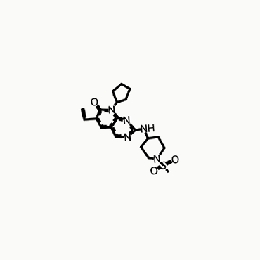 C=Cc1cc2cnc(NC3CCN(S(C)(=O)=O)CC3)nc2n(C2CCCC2)c1=O